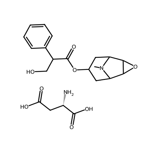 CN1C2CC(OC(=O)C(CO)c3ccccc3)CC1C1OC12.N[C@@H](CC(=O)O)C(=O)O